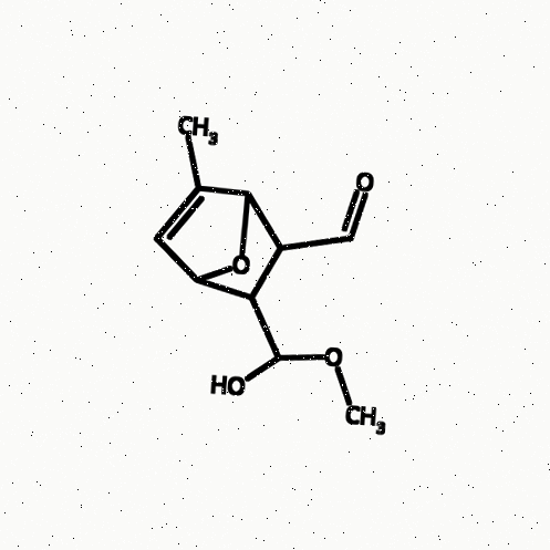 COC(O)C1C2C=C(C)C(O2)C1C=O